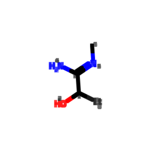 CCC(O)C(N)=NC